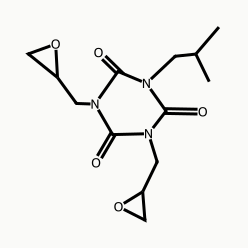 CC(C)Cn1c(=O)n(CC2CO2)c(=O)n(CC2CO2)c1=O